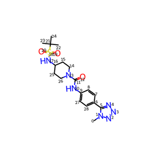 Cn1nnnc1-c1ccc(NC(=O)N2CCC(NS(=O)(=O)C(C)(C)C)CC2)cc1